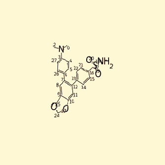 CN(C)c1ccc(-c2cc3c(cc2-c2ccc(S(N)(=O)=O)cc2)OCO3)cc1